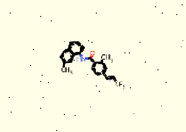 Cc1ccc2cccc(NC(=O)c3ccc(/C=C/C(F)(F)F)cc3C)c2c1